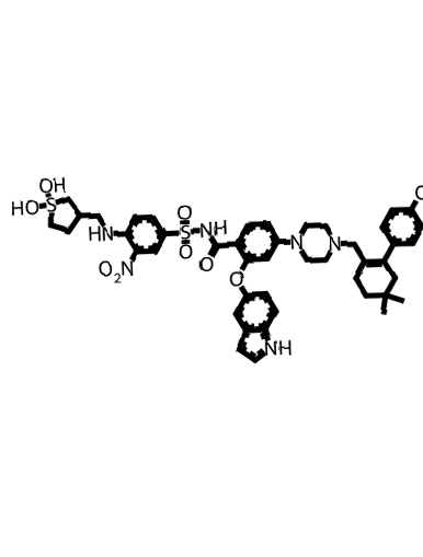 CC1(C)CCC(CN2CCN(c3ccc(C(=O)NS(=O)(=O)c4ccc(NCC5CCS(O)(O)C5)c([N+](=O)[O-])c4)c(Oc4ccc5[nH]ccc5c4)c3)CC2)=C(c2ccc(Cl)cc2)C1